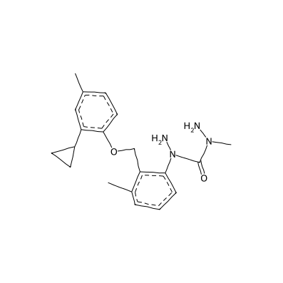 Cc1ccc(OCc2c(C)cccc2N(N)C(=O)N(C)N)c(C2CC2)c1